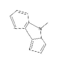 CN1c2ccc[c]c2C2=CC=CC21